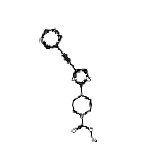 CC(C)(C)OC(=O)N1CCC(c2nc(C#Cc3cccnc3)cs2)CC1